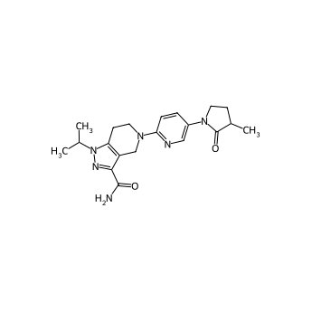 CC1CCN(c2ccc(N3CCc4c(c(C(N)=O)nn4C(C)C)C3)nc2)C1=O